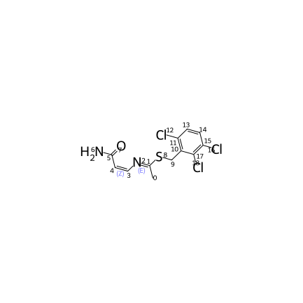 C/C(=N\C=C/C(N)=O)SCc1c(Cl)ccc(Cl)c1Cl